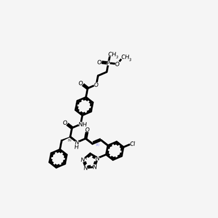 COP(C)(=O)CCOC(=O)c1ccc(NC(=O)[C@H](Cc2ccccc2)NC(=O)/C=C/c2cc(Cl)ccc2-n2cnnn2)cc1